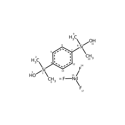 C[Si](C)(O)c1ccc([Si](C)(C)O)cc1.[F][Nd]([F])[F]